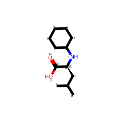 CC(C)C[C@H](NC1CCCCC1)C(=O)O